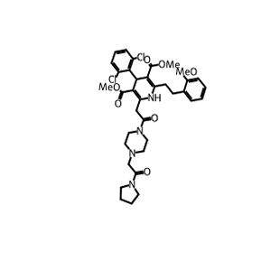 COC(=O)C1=C(CCc2ccccc2OC)NC(CC(=O)N2CCN(CC(=O)N3CCCC3)CC2)=C(C(=O)OC)C1c1c(Cl)cccc1Cl